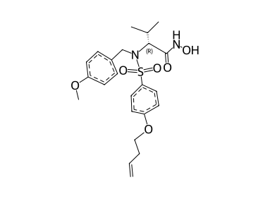 C=CCCOc1ccc(S(=O)(=O)N(Cc2ccc(OC)cc2)[C@@H](C(=O)NO)C(C)C)cc1